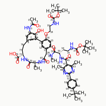 CC(=O)Nc1cc2cc(c1O)-c1cc(ccc1OCCNC(=O)OC(C)(C)C)[C@H](N(C)C(=O)[C@H](CCNC(=O)OC(C)(C)C)NC(=O)c1c(C)nc(-c3ccc(C(C)(C)C)cc3)nc1C)C(=O)N[C@@H](C)C(=O)N[C@H](C(=O)O)CC2